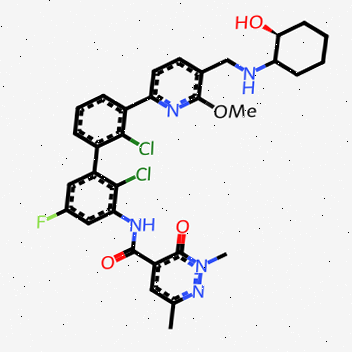 COc1nc(-c2cccc(-c3cc(F)cc(NC(=O)c4cc(C)nn(C)c4=O)c3Cl)c2Cl)ccc1CNC1CCCC[C@@H]1O